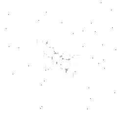 C[C@]1(O)CO[C@H](O[C@H]2CC(O)COC2CO)C(O)C1